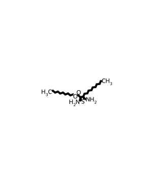 CCCCCCCCCCOC(=O)c1c(N)sc(N)c1CCCCCCCCCC